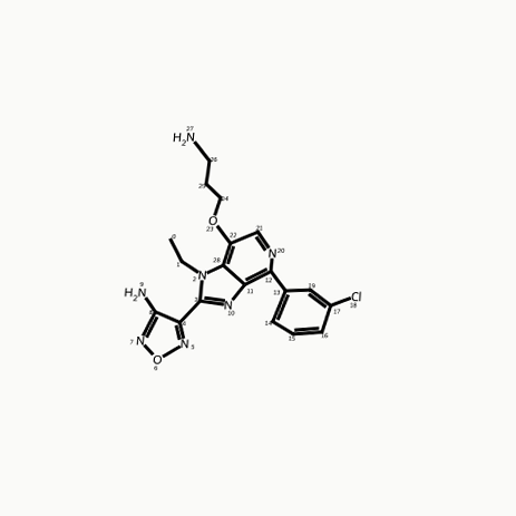 CCn1c(-c2nonc2N)nc2c(-c3cccc(Cl)c3)ncc(OCCCN)c21